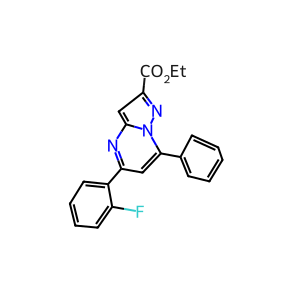 CCOC(=O)c1cc2nc(-c3ccccc3F)cc(-c3ccccc3)n2n1